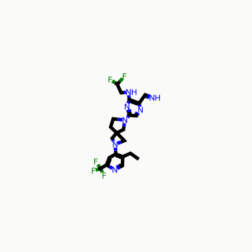 CCc1cnc(C(F)(F)F)cc1N1CC2(CCN(c3cnc(C=N)c(NCC(F)F)n3)C2)C1